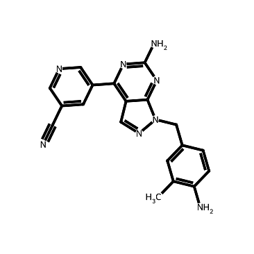 Cc1cc(Cn2ncc3c(-c4cncc(C#N)c4)nc(N)nc32)ccc1N